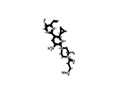 C=Cc1nc(-c2cc(N)c(N3CCN(C(=O)CCOC)[C@H](C)C3)nc2C2CC2)ncc1F